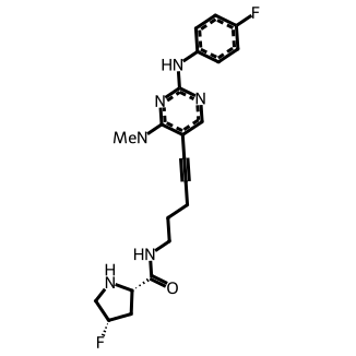 CNc1nc(Nc2ccc(F)cc2)ncc1C#CCCCNC(=O)[C@@H]1C[C@H](F)CN1